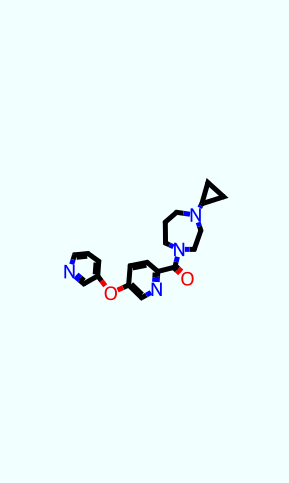 O=C(c1ccc(Oc2cccnc2)cn1)N1CCCN(C2CC2)CC1